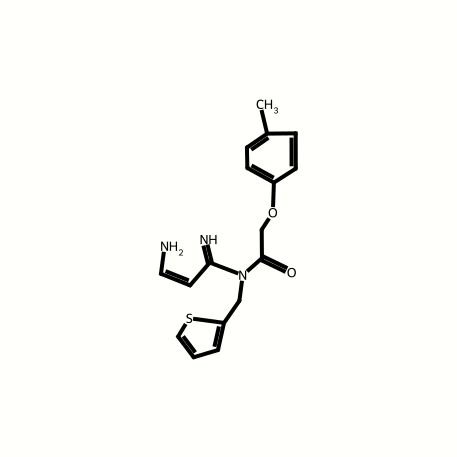 Cc1ccc(OCC(=O)N(Cc2cccs2)C(=N)/C=C\N)cc1